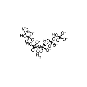 O.O=P([O-])([O-])O.O=P([O-])([O-])O.O=P([O-])([O-])O.O=P([O-])([O-])O.O=P([O-])([O-])O.[V+5].[V+5]